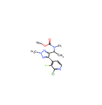 CCN(C(=O)OC(C)(C)C)C(C)c1nn(C)nc1-c1ccnc(Cl)c1F